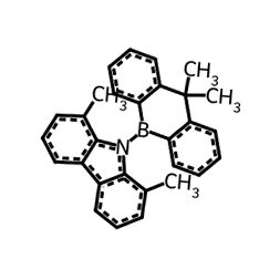 Cc1cccc2c3cccc(C)c3n(B3c4ccccc4C(C)(C)c4ccccc43)c12